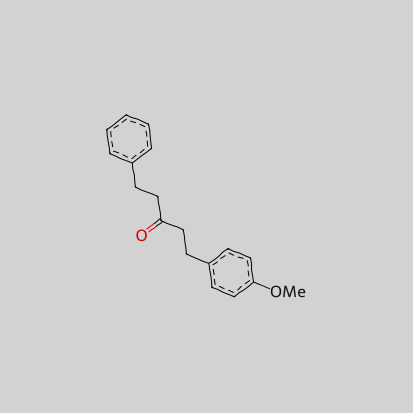 COc1ccc(CCC(=O)CCc2ccccc2)cc1